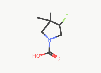 CC1(C)CN(C(=O)O)CC1F